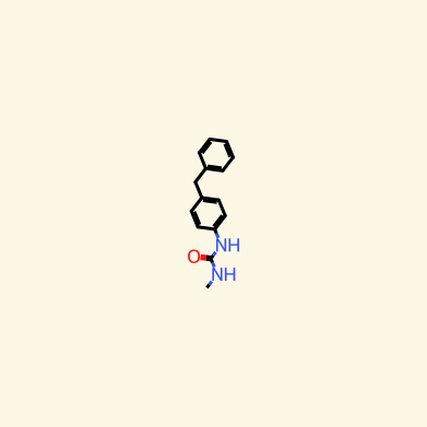 CNC(=O)Nc1ccc(Cc2ccccc2)cc1